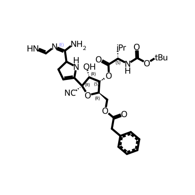 CC(C)[C@H](NC(=O)OC(C)(C)C)C(=O)O[C@H]1[C@@H](O)[C@](C#N)(C2=CCC(/C(N)=N\C=N)N2)O[C@@H]1COC(=O)Cc1ccccc1